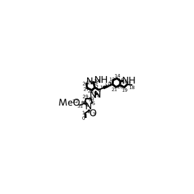 C=CC(=O)N1C[C@@H](n2nc(C#Cc3ccc4[nH]c(C)cc4c3)c3c(N)nccc32)C[C@@H]1COC